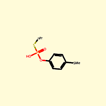 CCCSP(=O)(O)Oc1ccc(SC)cc1